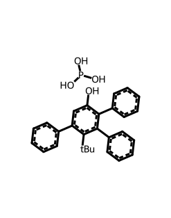 CC(C)(C)c1c(-c2ccccc2)cc(O)c(-c2ccccc2)c1-c1ccccc1.OP(O)O